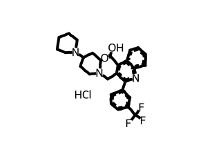 Cl.O=C(O)c1c(CN2CCC(N3CCCCC3)CC2)c(-c2cccc(C(F)(F)F)c2)nc2ccccc12